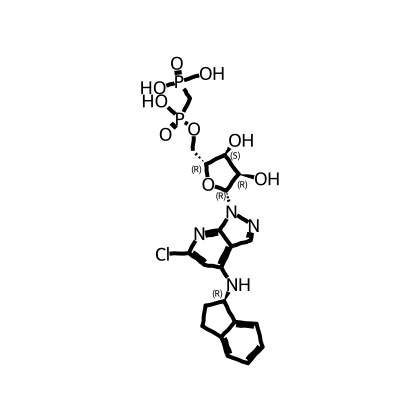 O=P(O)(O)CP(=O)(O)OC[C@H]1O[C@@H](n2ncc3c(N[C@@H]4CCc5ccccc54)cc(Cl)nc32)[C@H](O)[C@@H]1O